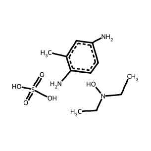 CCN(O)CC.Cc1cc(N)ccc1N.O=S(=O)(O)O